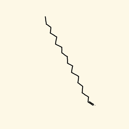 [CH]=CCCCCCCCCCCCCCCCCC